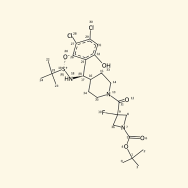 CC(C)(C)OC(=O)N1CC(F)(C(=O)N2CCC([C@@H](N[S@@+]([O-])C(C)(C)C)c3cc(Cl)c(Cl)cc3O)CC2)C1